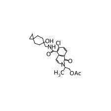 CC(=O)OCC(C)n1ccc2c(C(=O)NCC3(O)CCC4(CC3)CC4)c(Cl)ccc2c1=O